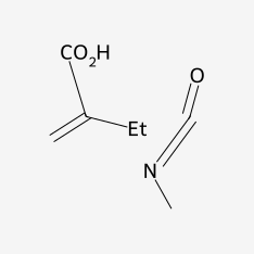 C=C(CC)C(=O)O.CN=C=O